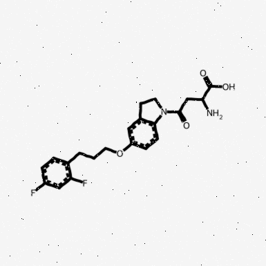 NC(CC(=O)N1CCc2cc(OCCCc3ccc(F)cc3F)ccc21)C(=O)O